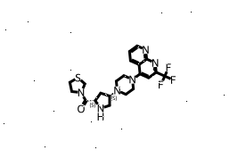 O=C([C@@H]1C[C@H](N2CCN(c3cc(C(F)(F)F)nc4ncccc34)CC2)CN1)N1CCSC1